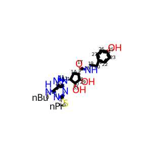 CCCCNc1nc(SCCC)nc2c1nnn2[C@@H]1C[C@H](C(=O)NCCc2ccc(O)cc2)[C@@H](O)[C@H]1O